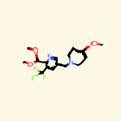 COC1CCN(Cc2cnc(C(OC)OC)c(C(F)(F)F)c2)CC1